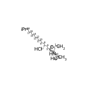 C=CCOC(CCCCCCCCCCCCCCC(C)C)CCNCC(C)O.Cl